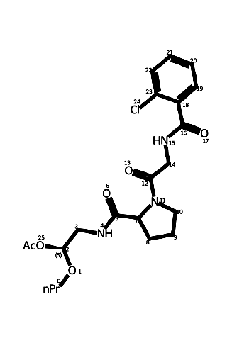 CCCO[C@H](CNC(=O)C1CCCN1C(=O)CNC(=O)c1ccccc1Cl)OC(C)=O